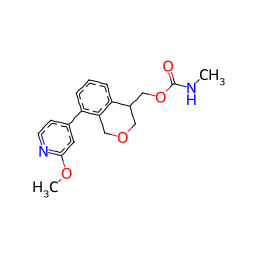 CNC(=O)OCC1COCc2c(-c3ccnc(OC)c3)cccc21